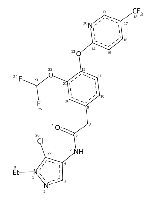 CCn1ncc(NC(=O)Cc2ccc(Oc3ccc(C(F)(F)F)cn3)c(OC(F)F)c2)c1Cl